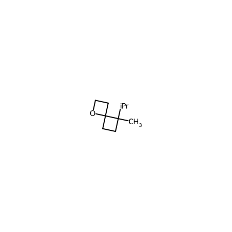 CC(C)C1(C)CCC12CCO2